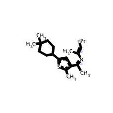 CCC/C=C(C)/N=C(/C)c1cc(C2CCC(C)(C)CC2)sc1C